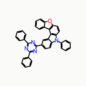 c1ccc(-c2nc(-c3ccccc3)nc(-c3ccc4c(c3)c3c5c(ccc3n4-c3ccccc3)oc3ccccc35)n2)cc1